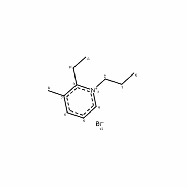 CCC[n+]1cccc(C)c1CC.[Br-]